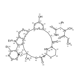 C=CC(=O)N(C)[C@H](C(=O)N[C@H]1Cc2cc(O)cc(c2)-c2ccc3c(c2)c(c(-c2cccnc2CC)n3CC)CC(C)(C)COC(=O)[C@@H]2CCCN(N2)C1=O)C(C)C